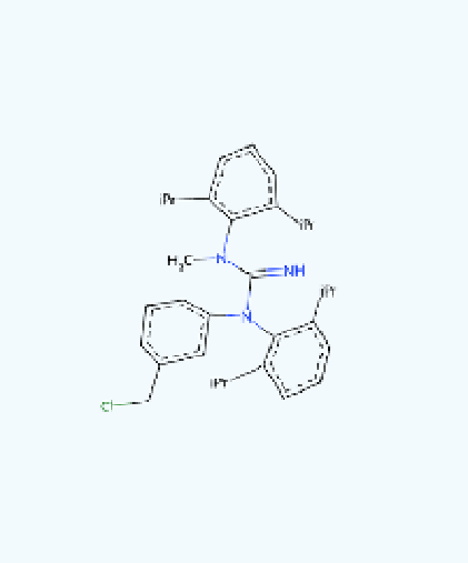 CC(C)c1cccc(C(C)C)c1N(C)C(=N)N(c1cccc(CCl)c1)c1c(C(C)C)cccc1C(C)C